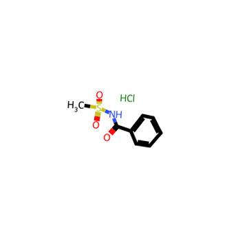 CS(=O)(=O)NC(=O)c1ccccc1.Cl